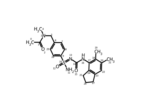 CC(=O)N(C)Cc1ccc(S(N)(=O)=NC(=O)Nc2c(C)c(C)cc3c2CCC3)cc1